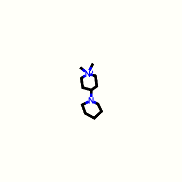 C[N+]1(C)CCC(N2CCCCC2)CC1